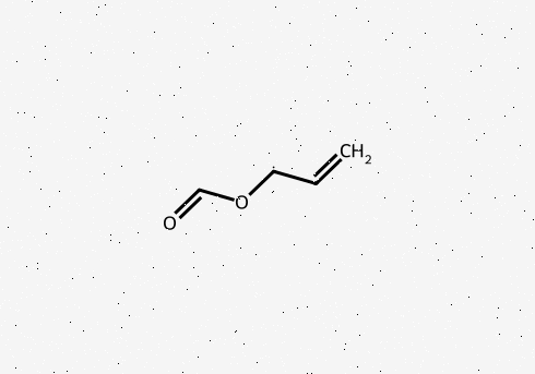 C=C[CH]OC=O